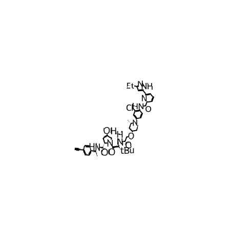 C#Cc1ccc([C@H](C)NC(=O)[C@@H]2C[C@@H](O)CN2C(=O)[C@@H](NC(=O)CO[C@H]2CCN(c3ccc(NC(=O)c4cccc(-c5cc(CC)n[nH]5)n4)c(Cl)c3)[C@@H](C)C2)C(C)(C)C)cc1